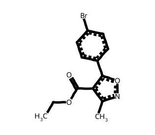 CCOC(=O)c1c(C)noc1-c1ccc(Br)cc1